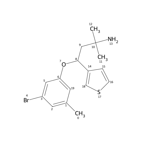 Cc1cc(Br)cc(OC(CC(C)(C)N)c2ccsc2)c1